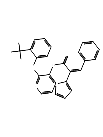 CC(C)(C)c1ccccc1Oc1ncccc1NC(=O)/C(=C\c1ccccc1)c1cccs1